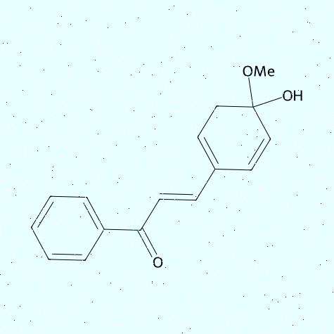 COC1(O)C=CC(C=CC(=O)c2ccccc2)=CC1